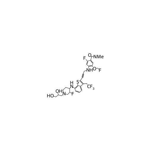 CNC(=O)c1cc(OCF)c(NCC#Cc2sc3c(NC4CCN(CC(O)CO)CC4F)cccc3c2CC(F)(F)F)cc1F